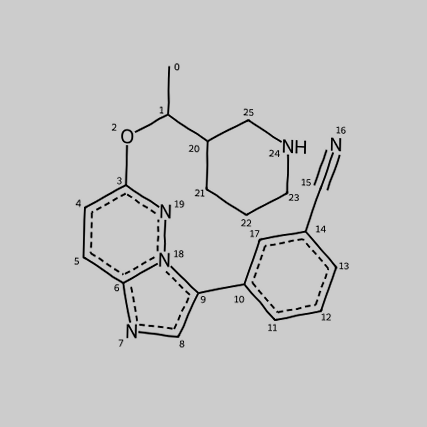 CC(Oc1ccc2ncc(-c3cccc(C#N)c3)n2n1)C1CCCNC1